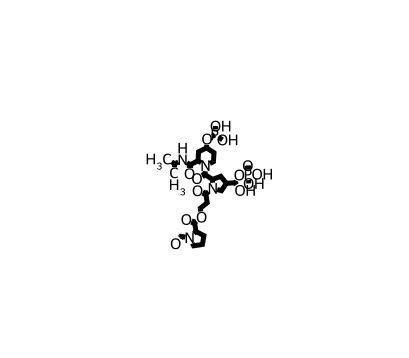 CC(C)NC(=O)C1CC(OP(O)O)CCN1C(=O)C1CC(C(O)OP(=O)(O)O)CN1C(=O)CCOC(=O)C1CCCN1C=O